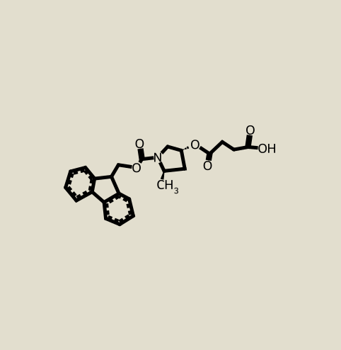 C[C@@H]1C[C@@H](OC(=O)CCC(=O)O)CN1C(=O)OCC1c2ccccc2-c2ccccc21